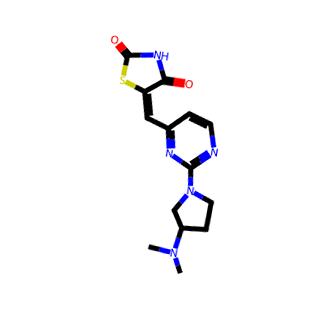 CN(C)C1CCN(c2nccc(C=C3SC(=O)NC3=O)n2)C1